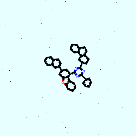 c1ccc(-c2nc(-c3ccc4ccc5ccccc5c4c3)nc(-c3cc(-c4ccc5ccccc5c4)cc4oc5ccccc5c34)n2)cc1